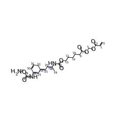 C=CC(=O)OCOC(=O)CCCCCOC(=O)N/C(C)=C/C=C1/C=C(NC(=O)ON)C=CC1